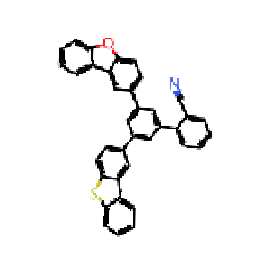 N#Cc1ccccc1-c1cc(-c2ccc3oc4ccccc4c3c2)cc(-c2ccc3sc4ccccc4c3c2)c1